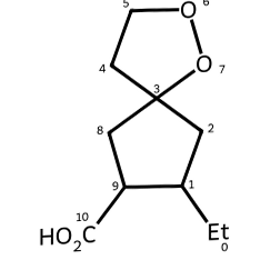 CCC1CC2(CCOO2)CC1C(=O)O